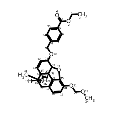 CCOC(=O)c1ccc(COC2C=C[C@H]3[C@H]4Cc5ccc(OCOC)c6c5[C@@]3(CCN4C)C2O6)cc1